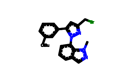 CC(C)COc1cccc(-c2cc(CBr)nn2-c2cccc3cnn(C)c23)c1